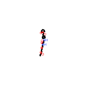 CCC(=O)OCCCOCCNC(=O)CC(=O)Nc1ccc(CC(=O)C2CCCCC2=O)cc1